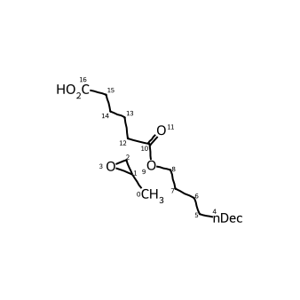 CC1CO1.CCCCCCCCCCCCCCOC(=O)CCCCC(=O)O